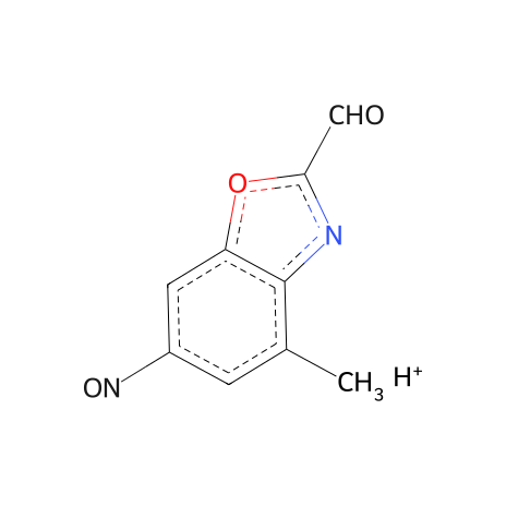 Cc1cc(N=O)cc2oc(C=O)nc12.[H+]